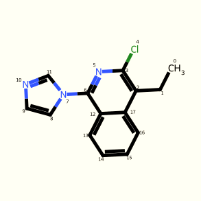 CCc1c(Cl)nc(-n2ccnc2)c2ccccc12